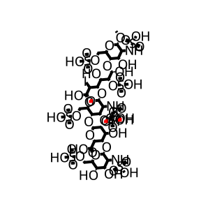 CO[C@@H]1OC(COS(=O)(=O)O)[C@@H](O[C@H](O)C(OS(=O)(=O)O)C(O)[C@@H](O[C@@H]2OC(COS(=O)(=O)O)[C@@H](O[C@@H]3OC(C(=O)O)[C@H](O[C@@H]4OC(COS(=O)(=O)O)[C@@H](O)C(O)C4NS(=O)(=O)O)C(O)C3O)C(OS(=O)(=O)O)C2NS(=O)(=O)O)C(I)C(=O)O)C(O)C1NS(=O)(=O)O